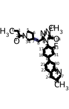 CCC(=O)N1CC/C(=C\c2nn(C)c(=O)n2-c2ccc(-c3ccc4cc(C)cnc4c3)cc2F)C1